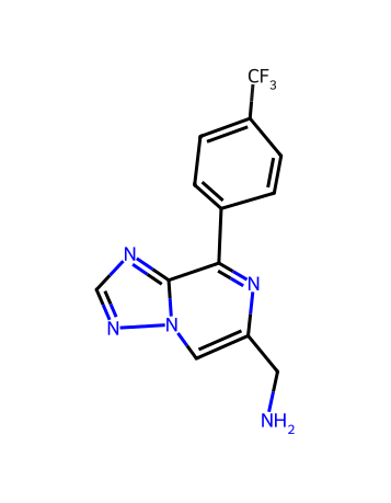 NCc1cn2ncnc2c(-c2ccc(C(F)(F)F)cc2)n1